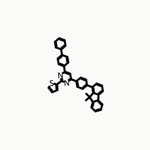 CC1(C)c2ccccc2-c2cccc(-c3ccc(-c4cc(-c5ccc(-c6ccccc6)cc5)nc(-c5cccs5)n4)cc3)c21